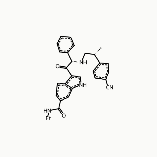 CCNC(=O)c1ccc2c(C(=O)[C@@H](NC[C@H](C)c3ccc(C#N)cc3)c3ccccc3)c[nH]c2c1